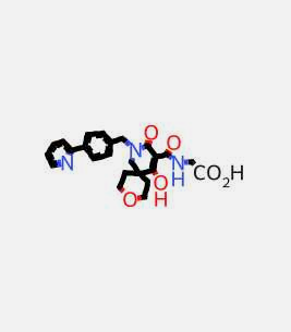 O=C(O)CNC(=O)C1=C(O)C2(CCOCC2)CN(Cc2ccc(-c3ccccn3)cc2)C1=O